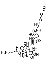 COCCOCCOCCNCCNC(=O)c1ccc(C(=O)NCC(CNC(=O)c2ccc(C(N)=O)c(O)c2O)NCCNC(=O)c2ccc(C(=O)NCCCCCN)c(O)c2O)c(O)c1O